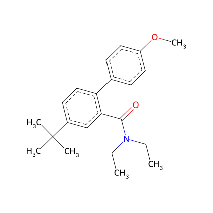 CCN(CC)C(=O)c1cc(C(C)(C)C)ccc1-c1ccc(OC)cc1